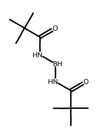 CC(C)(C)C(=O)NBNC(=O)C(C)(C)C